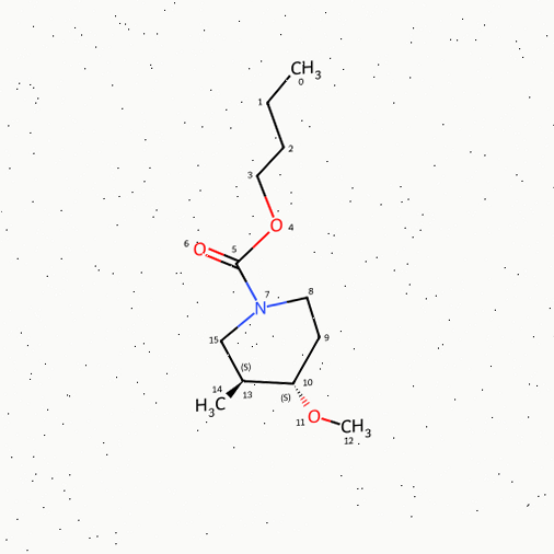 CCCCOC(=O)N1CC[C@H](OC)[C@@H](C)C1